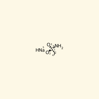 NS(=O)(=O)F.[NaH]